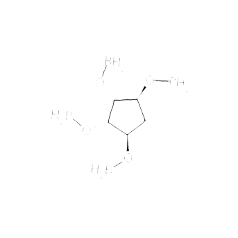 BO[C@H]1[C@@H](OP)[C@H](OB)C[C@@H]1OP